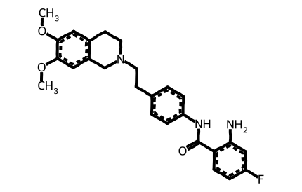 COc1cc2c(cc1OC)CN(CCc1ccc(NC(=O)c3ccc(F)cc3N)cc1)CC2